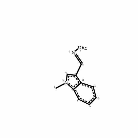 CC(=O)ON=Cc1cn(C)c2ccccc12